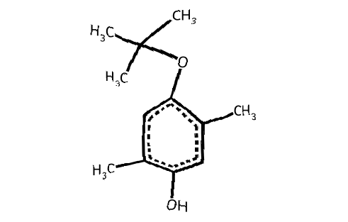 Cc1cc(OC(C)(C)C)c(C)cc1O